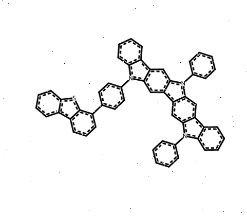 c1ccc(-n2c3ccccc3c3cc4c(cc32)c2cc3c(cc2n4-c2ccccc2)c2ccccc2n3-c2ccc(-c3cccc4c3sc3ccccc34)cc2)cc1